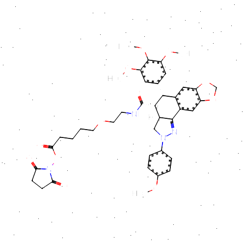 COc1ccc(N2C[C@@H]3C(=N2)c2cc4c(cc2[C@@H](c2cc(OC)c(OC)c(OC)c2)[C@H]3C(=O)NCCOCCCCC(=O)ON2C(=O)CCC2=O)OCO4)cc1